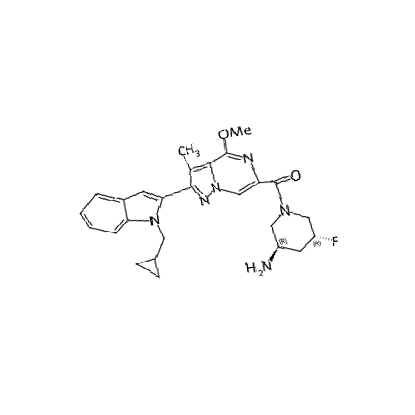 COc1nc(C(=O)N2C[C@H](N)C[C@@H](F)C2)cn2nc(-c3cc4ccccc4n3CC3CC3)c(C)c12